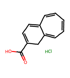 Cl.O=C(O)C1=CC=C2C=CC=CC=C2C1